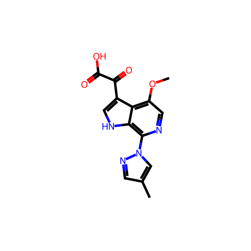 COc1cnc(-n2cc(C)cn2)c2[nH]cc(C(=O)C(=O)O)c12